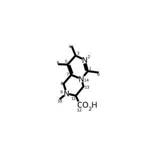 CC1=NC(C)C(C)=C2CN(C)C(C(=O)O)CN12